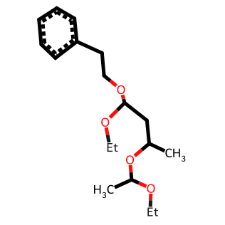 CCOC(C)OC(C)CC(OCC)OCCc1ccccc1